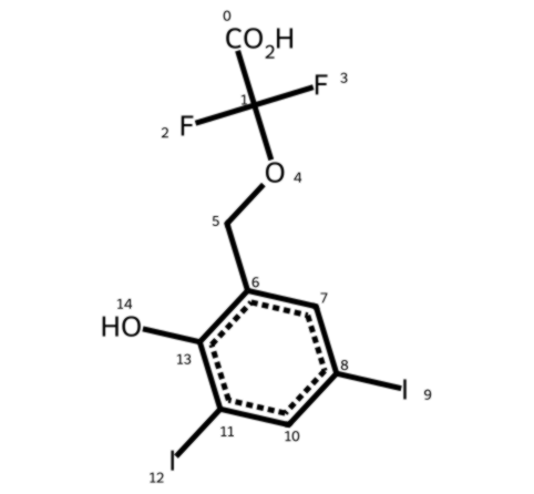 O=C(O)C(F)(F)OCc1cc(I)cc(I)c1O